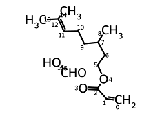 C=CC(=O)OCCC(C)CCC=C(C)C.O=CO